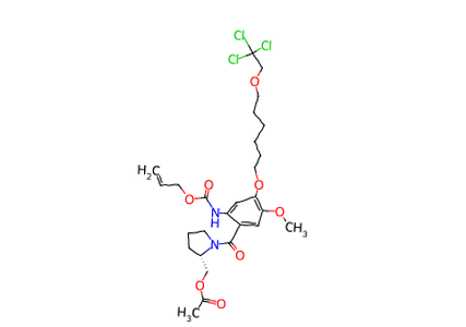 C=CCOC(=O)Nc1cc(OCCCCCCOCC(Cl)(Cl)Cl)c(OC)cc1C(=O)N1CCC[C@H]1COC(C)=O